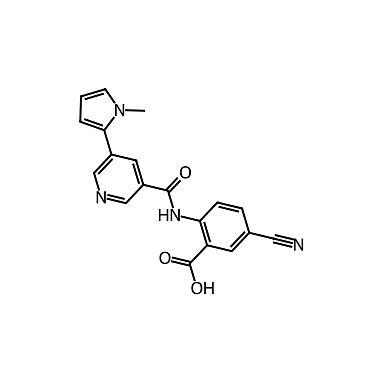 Cn1cccc1-c1cncc(C(=O)Nc2ccc(C#N)cc2C(=O)O)c1